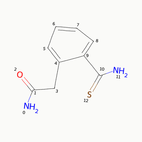 NC(=O)Cc1ccccc1C(N)=S